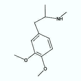 CNC(C)Cc1ccc(OC)c(OC)c1